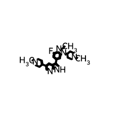 Cc1nc2c(F)cc(-c3c[nH]c4ncc(C5=CCN(C)CC5)cc34)cc2n1C1CCN(C)CC1